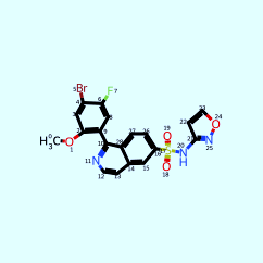 COc1cc(Br)c(F)cc1-c1nccc2cc(S(=O)(=O)Nc3ccon3)ccc12